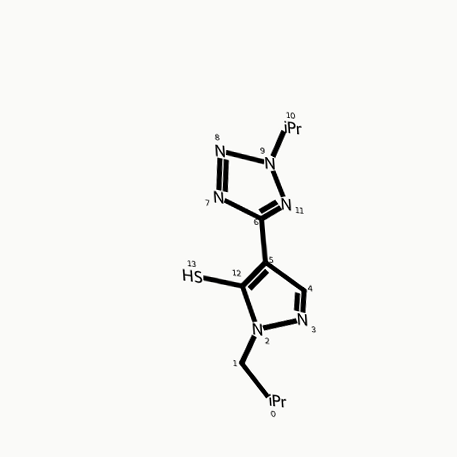 CC(C)Cn1ncc(-c2nnn(C(C)C)n2)c1S